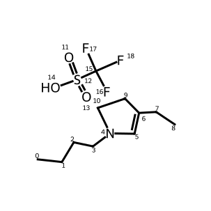 CCCCN1C=C(CC)CC1.O=S(=O)(O)C(F)(F)F